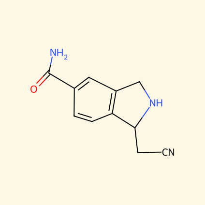 N#CCC1NCc2cc(C(N)=O)ccc21